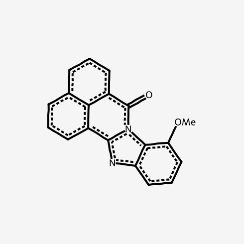 COc1cccc2nc3c4cccc5cccc(c(=O)n3c12)c54